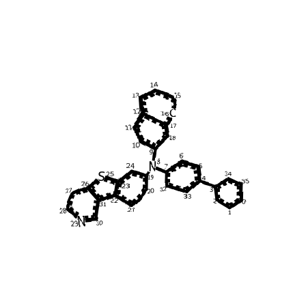 c1ccc(-c2ccc(N(c3ccc4ccccc4c3)c3ccc4c(c3)sc3ccncc34)cc2)cc1